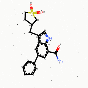 NC(=O)c1cc(-c2ccccc2)cc2c(CC3CCS(=O)(=O)C3)c[nH]c12